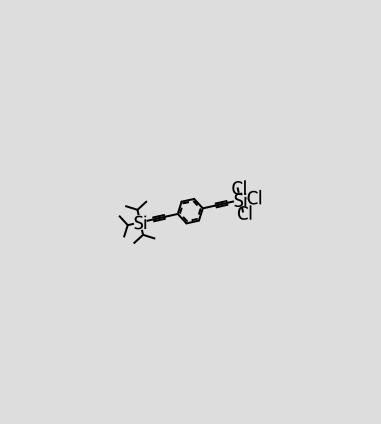 CC(C)[Si](C#Cc1ccc(C#C[Si](Cl)(Cl)Cl)cc1)(C(C)C)C(C)C